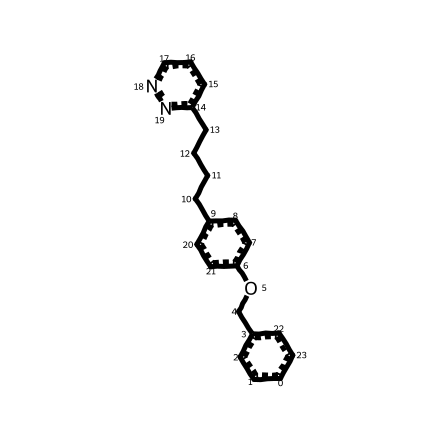 c1ccc(COc2ccc(CCCCc3cccnn3)cc2)cc1